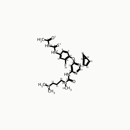 CC(=O)NC(=S)Nc1ccc(Oc2cc(NC(=O)N(C)CCCN(C)C)ncn2)c(F)c1.c1cc2cc-2c1